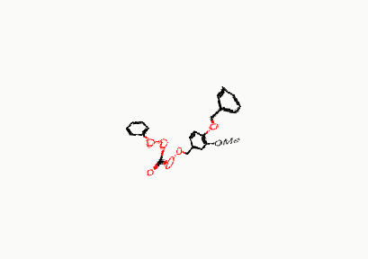 COc1cc(COOC(=O)OOc2ccccc2)ccc1OCc1ccccc1